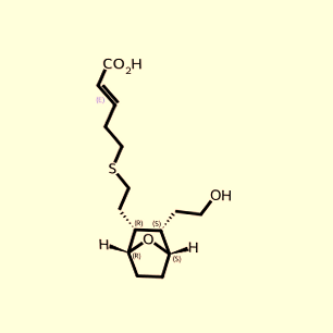 O=C(O)/C=C/CCSCC[C@@H]1[C@H](CCO)[C@@H]2CC[C@H]1O2